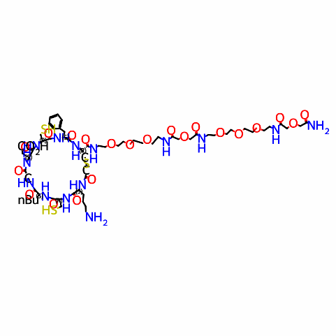 CCCC[C@@H]1NC(=O)[C@H](CS)NC(=O)[C@H](CCCCN)NC(=O)CSC[C@@H](C(=O)NCCOCCOCCOCCNC(=O)COCC(=O)NCCOCCOCCOCCNC(=O)COCC(N)=O)NC(=O)[C@H](Cc2ccccc2)NC(=O)[C@H](CS)NC(=O)[C@H](CC(=O)O)NC(=O)CNC1=O